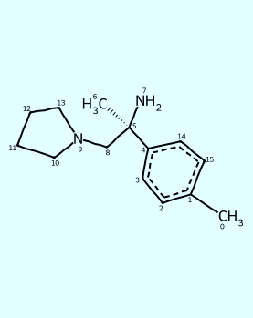 Cc1ccc([C@](C)(N)CN2CCCC2)cc1